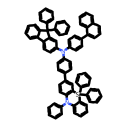 c1ccc(N2c3ccccc3[Si](c3ccccc3)(c3ccccc3)c3cc(-c4ccc(N(c5ccc(-c6cccc7ccccc67)cc5)c5ccc6c(c5)C(c5ccccc5)(c5ccccc5)c5ccccc5-6)cc4)ccc32)cc1